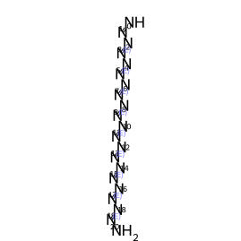 N=N/N=N/N=N/N=N/N=N/N=N/N=N/N=N/N=N/N=N/N